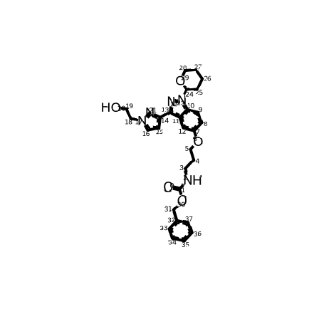 O=C(NCCCOc1ccc2c(c1)c(-c1ccn(CCO)n1)nn2C1CCCCO1)OCc1ccccc1